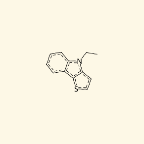 CCn1c2ccccc2c2sccc21